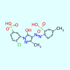 Cc1ccc(N=Nc2c(C)nn(-c3cc(S(=O)(=O)O)ccc3Cl)c2O)c(S(=O)(=O)O)c1